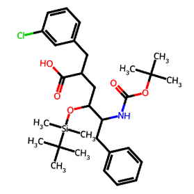 CC(C)(C)OC(=O)NC(Cc1ccccc1)C(CC(Cc1cccc(Cl)c1)C(=O)O)O[Si](C)(C)C(C)(C)C